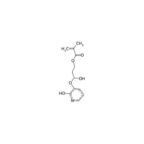 C=C(C)C(=O)OCCC(O)Oc1cccnc1O